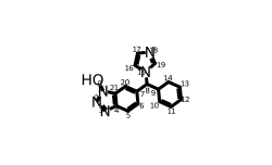 On1nnc2ccc(C(C3C=CC=CC3)n3ccnc3)cc21